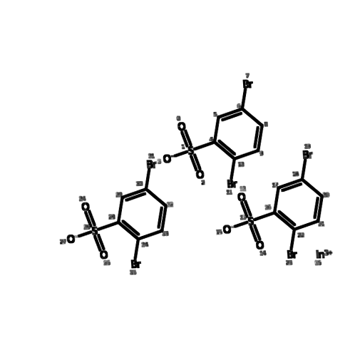 O=S(=O)([O-])c1cc(Br)ccc1Br.O=S(=O)([O-])c1cc(Br)ccc1Br.O=S(=O)([O-])c1cc(Br)ccc1Br.[In+3]